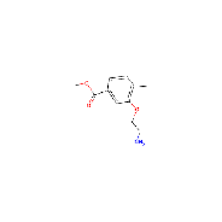 COC(=O)c1ccc(C)c(OCCN)c1